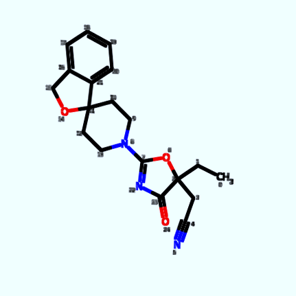 CCC1(CC#N)OC(N2CCC3(CC2)OCc2ccccc23)=NC1=O